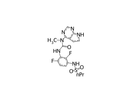 CCCS(=O)(=O)Nc1ccc(F)c(NC(=O)N(C)c2ncnc3[nH]ccc23)c1F